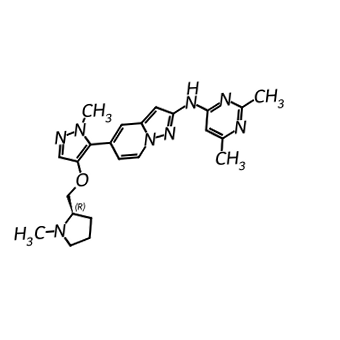 Cc1cc(Nc2cc3cc(-c4c(OC[C@H]5CCCN5C)cnn4C)ccn3n2)nc(C)n1